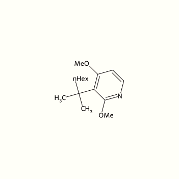 CCCCCCC(C)(C)c1c(OC)ccnc1OC